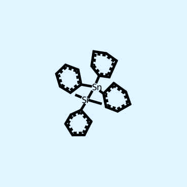 C[Si](C)(c1ccccc1)[Sn]([c]1ccccc1)([c]1ccccc1)[c]1ccccc1